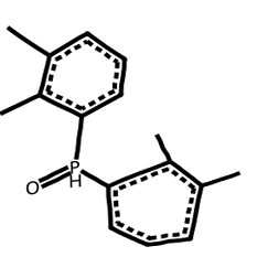 Cc1cccc([PH](=O)c2cccc(C)c2C)c1C